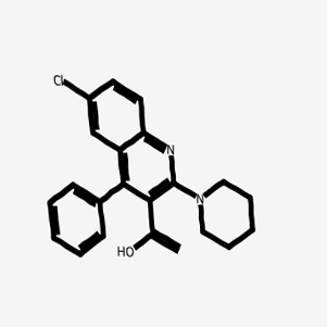 C=C(O)c1c(N2CCCCC2)nc2ccc(Cl)cc2c1-c1ccccc1